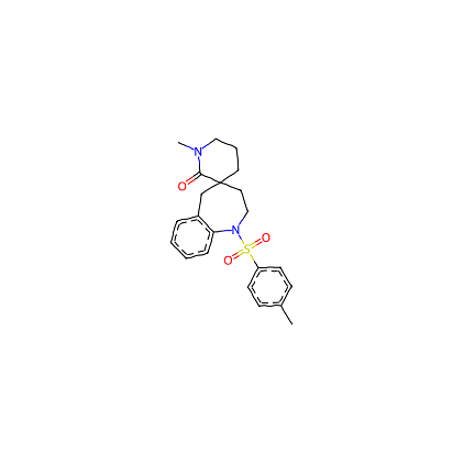 Cc1ccc(S(=O)(=O)N2CCC3(CCCN(C)C3=O)Cc3ccccc32)cc1